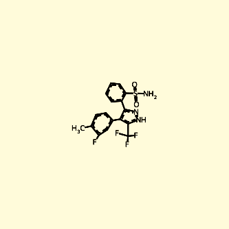 Cc1ccc(-c2c(-c3ccccc3S(N)(=O)=O)n[nH]c2C(F)(F)F)cc1F